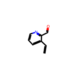 C=Cc1cccnc1C=O